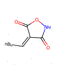 CCCC/[C]=C1/C(=O)NOC1=O